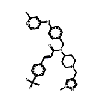 Cc1cc(Nc2ccc(CN(C(=O)/C=C/c3ccc(C(F)(F)F)cc3)C3CCN(Cc4cnn(C)c4)CC3)cc2)ccn1